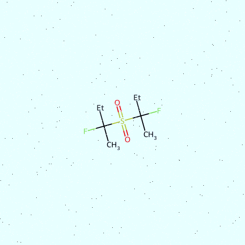 CCC(C)(F)S(=O)(=O)C(C)(F)CC